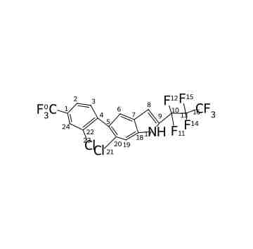 FC(F)(F)c1ccc(-c2cc3cc(C(F)(F)C(F)(F)C(F)(F)F)[nH]c3cc2Cl)c(Cl)c1